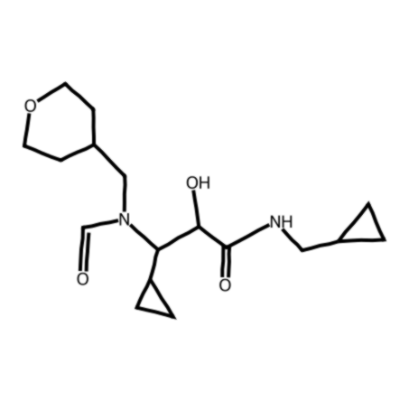 O=CN(CC1CCOCC1)C(C1CC1)C(O)C(=O)NCC1CC1